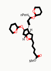 CCCCC[C@@H](/C=C/[C@@H]1[C@H]2CC(CCCCC(=O)OC)O[C@@H]2C[C@H]1OC1CCCCO1)OC1CCCCO1